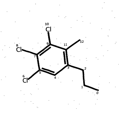 CCCc1cc(Cl)c(Cl)c(Cl)c1C